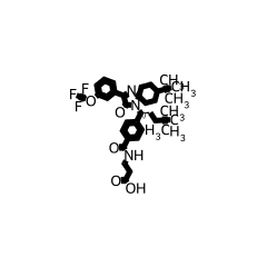 CC(C)(C)CC[C@H](c1ccc(C(=O)NCCC(=O)O)cc1)N1C(=O)C(c2cccc(OC(F)(F)F)c2)=NC12CCC(C(C)(C)C)CC2